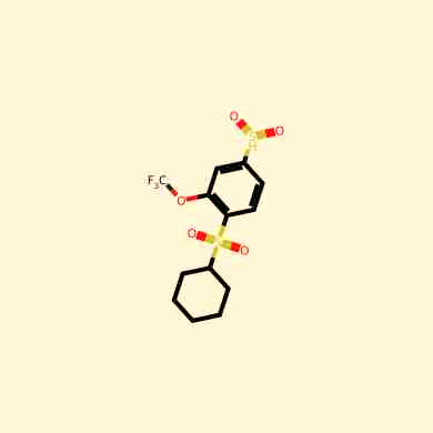 O=[SH](=O)c1ccc(S(=O)(=O)C2CCCCC2)c(OC(F)(F)F)c1